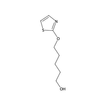 OCCCCCOc1nccs1